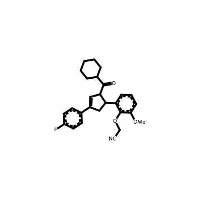 COc1cccc(C2CC(c3ccc(F)cc3)=CC2C(=O)C2CCCCC2)c1OCC#N